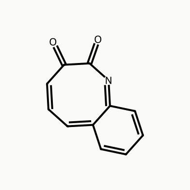 O=c1cccc2ccccc2nc1=O